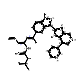 C=N/C=C(\C=C(/C)c1ccc2[nH]nc(-c3nc4c(-c5cccnc5)cncc4[nH]3)c2c1)NC(=O)CC(C)C